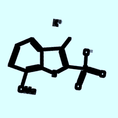 COc1cccc2c(C)c(S(=O)(=O)[O-])sc12.[K+]